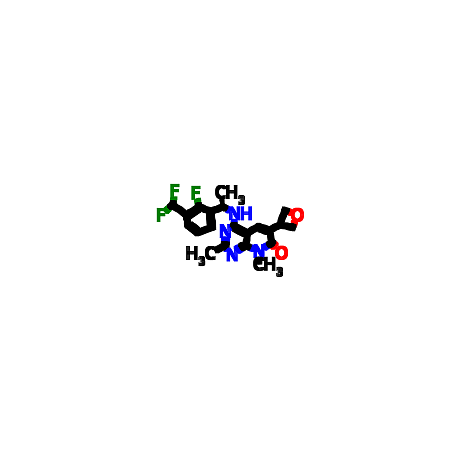 Cc1nc(N[C@H](C)c2cccc(C(F)F)c2F)c2cc(C3COC3)c(=O)n(C)c2n1